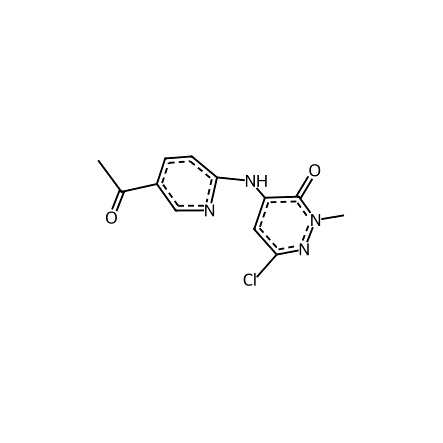 CC(=O)c1ccc(Nc2cc(Cl)nn(C)c2=O)nc1